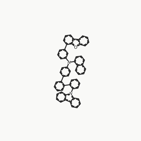 c1cc(-c2cccc3c2oc2ccccc23)cc(N(c2ccc(-c3ccccc3-c3ccccc3-n3c4ccccc4c4ccccc43)cc2)c2cccc3ccccc23)c1